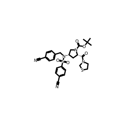 CC(C)(C)OC(=O)N1C[C@@H](N(Cc2ccc(C#N)cc2)S(=O)(=O)c2ccc(C#N)cc2)C[C@H]1C(=O)N1CCSC1